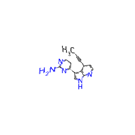 CC#Cc1ccnc2[nH]cc(-c3ccnc(N)n3)c12